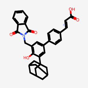 O=C(O)/C=C/c1ccc(-c2cc(CN3C(=O)c4ccccc4C3=O)c(O)c(C34CC5CC(CC(C5)C3)C4)c2)cc1